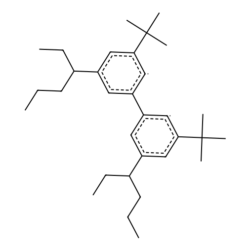 CCCC(CC)c1cc(-c2[c]c(C(C)(C)C)cc(C(CC)CCC)c2)[c]c(C(C)(C)C)c1